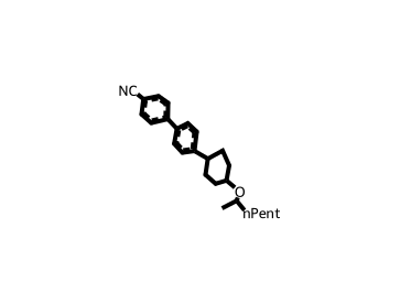 CCCCCC(C)OC1CCC(c2ccc(-c3ccc(C#N)cc3)cc2)CC1